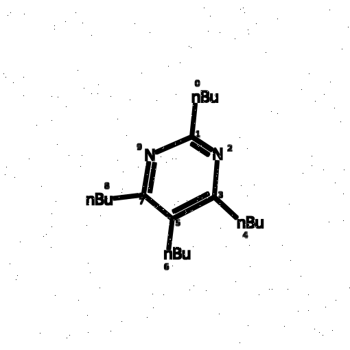 [CH2]CCCc1nc(CCCC)c(CCCC)c(CCCC)n1